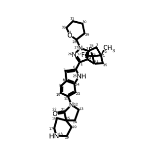 C[C@@]12Cc3c(c(-c4cc5ccc(N6CCC7(CCNCC7)C6=O)cc5[nH]4)nn3C3CCCCO3)C(C1)C2(F)F